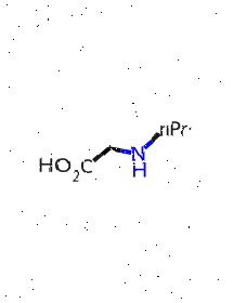 CC[CH]NCC(=O)O